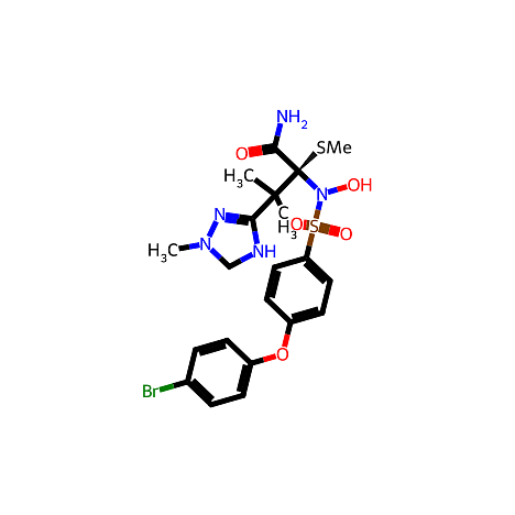 CS[C@@](C(N)=O)(N(O)S(=O)(=O)c1ccc(Oc2ccc(Br)cc2)cc1)C(C)(C)C1=NN(C)CN1